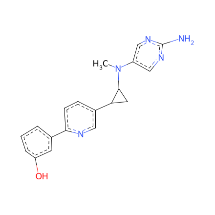 CN(c1cnc(N)nc1)C1CC1c1ccc(-c2cccc(O)c2)nc1